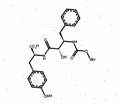 COc1ccc(C[C@H](NC(=O)[C@@H](O)[C@@H](Cc2ccccc2)NC(=O)OC(C)(C)C)C(=O)O)cc1